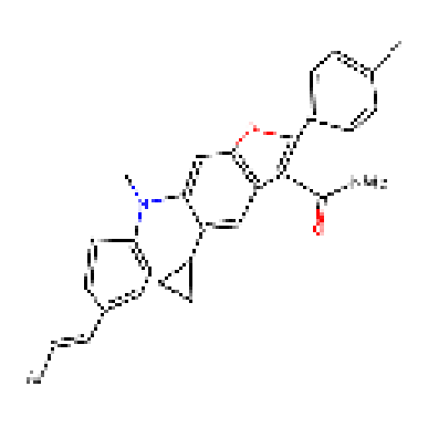 CNC(=O)c1c(-c2ccc(C)cc2)oc2cc(N(C)c3ccc(/C=C/C(C)=O)cc3)c(C3CC3)cc12